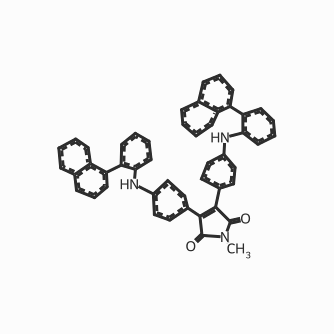 CN1C(=O)C(c2ccc(Nc3ccccc3-c3cccc4ccccc34)cc2)=C(c2ccc(Nc3ccccc3-c3cccc4ccccc34)cc2)C1=O